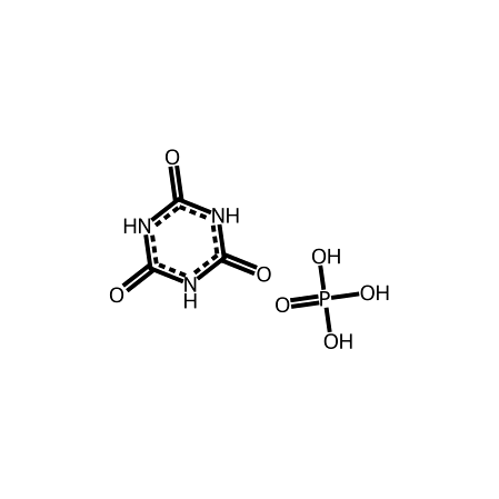 O=P(O)(O)O.O=c1[nH]c(=O)[nH]c(=O)[nH]1